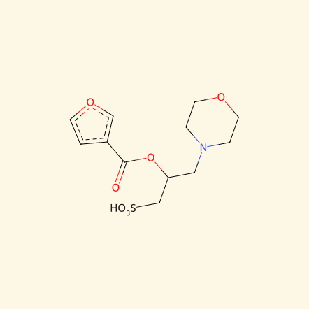 O=C(OC(CN1CCOCC1)CS(=O)(=O)O)c1ccoc1